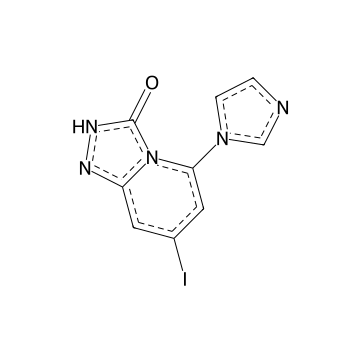 O=c1[nH]nc2cc(I)cc(-n3ccnc3)n12